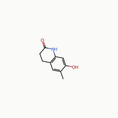 Cc1cc2c(cc1O)NC(=O)CC2